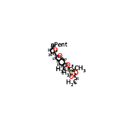 C=CC(=O)OC(C)(C)CC(C)(S)Oc1ccc2cc(-c3ccc(CCCCC)o3)oc2c1